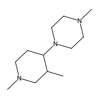 CC1CN(C)CCC1N1CCN(C)CC1